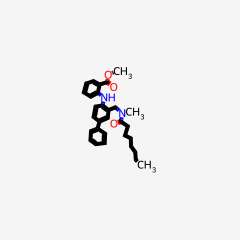 CCCCCCCC(=O)N(C)Cc1cc(-c2ccccc2)ccc1Nc1ccccc1C(=O)OC